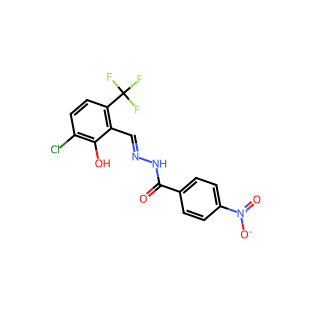 O=C(N/N=C/c1c(C(F)(F)F)ccc(Cl)c1O)c1ccc([N+](=O)[O-])cc1